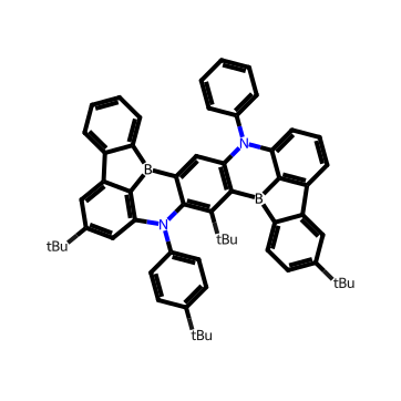 CC(C)(C)c1ccc(N2c3cc(C(C)(C)C)cc4c3B(c3ccccc3-4)c3cc4c(c(C(C)(C)C)c32)B2c3ccc(C(C)(C)C)cc3-c3cccc(c32)N4c2ccccc2)cc1